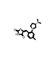 Cc1ccc(C=C2SC(=O)NC2=O)c(N2CC[C@H](N(C)C)C2)c1